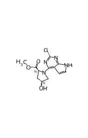 COC(=O)[C@@H]1C[C@H](O)CN1c1nc(Cl)nc2[nH]ccc12